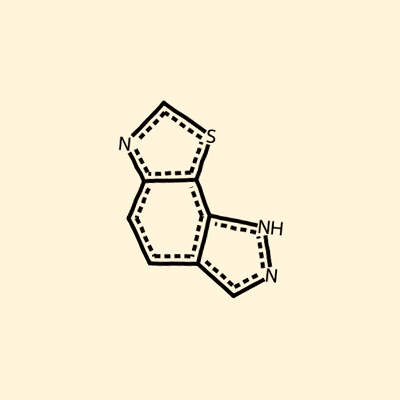 c1nc2ccc3cn[nH]c3c2s1